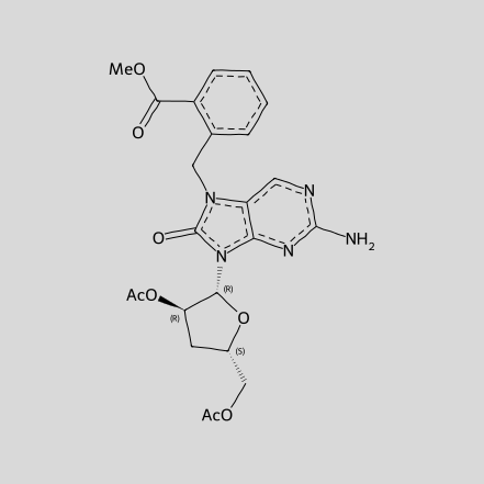 COC(=O)c1ccccc1Cn1c(=O)n([C@@H]2O[C@H](COC(C)=O)C[C@H]2OC(C)=O)c2nc(N)ncc21